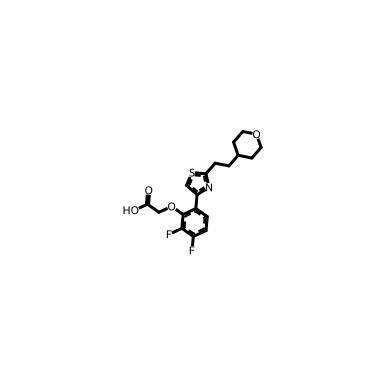 O=C(O)COc1c(-c2csc(CCC3CCOCC3)n2)ccc(F)c1F